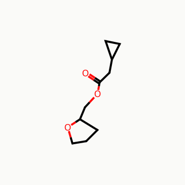 O=C(CC1CC1)OCC1CCCO1